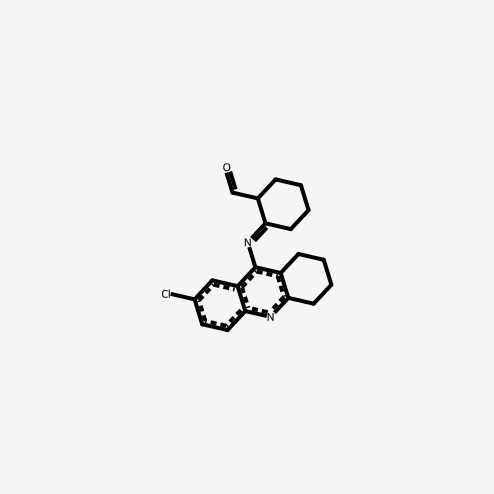 O=CC1CCCCC1=Nc1c2c(nc3ccc(Cl)cc13)CCCC2